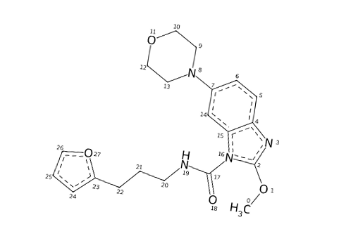 COc1nc2ccc(N3CCOCC3)cc2n1C(=O)NCCCc1ccco1